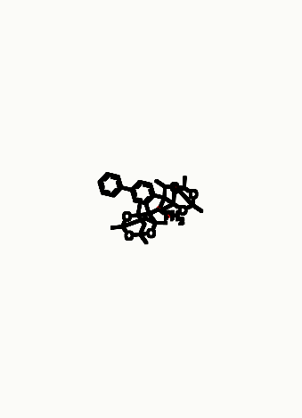 CC12CC3(C)OC(C)(CC(C)(O1)C3(CP)c1ccc(-c3ccccc3)cc1C1(CP)C3(C)CC4(C)OC(C)(CC1(C)O4)O3)O2